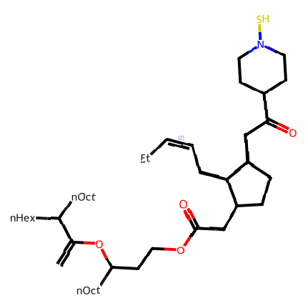 C=C(OC(CCCCCCCC)CCOC(=O)CC1CCC(CC(=O)C2CCN(S)CC2)C1C/C=C\CC)C(CCCCCC)CCCCCCCC